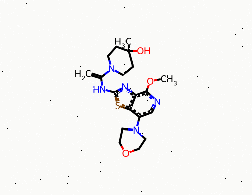 C=C(Nc1nc2c(OC)ncc(N3CCOCC3)c2s1)N1CCC(C)(O)CC1